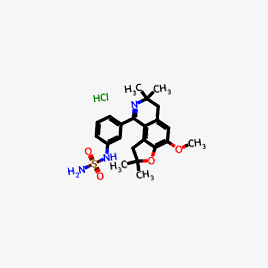 COc1cc2c(c3c1OC(C)(C)C3)C(c1cccc(NS(N)(=O)=O)c1)=NC(C)(C)C2.Cl